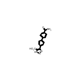 NC(=O)c1ccc(-c2ccc(-c3nn[nH]c3C(=O)O)cc2)cc1